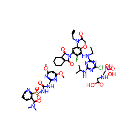 C#CCN1C(=O)COc2cc(F)c(N3C(=O)C4=C(CCCC4)C3=O)cc21.CCNc1nc(Cl)nc(NC(C)C)n1.COc1cc(OC)nc(NC(=O)NS(=O)(=O)c2ncccc2C(=O)N(C)C)n1.O=C(O)CNCP(=O)(O)O